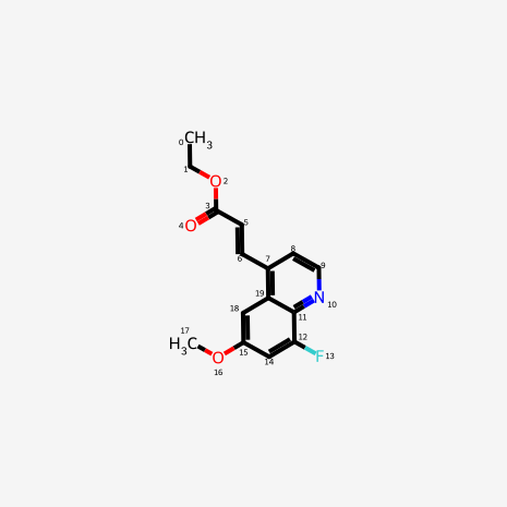 CCOC(=O)/C=C/c1ccnc2c(F)cc(OC)cc12